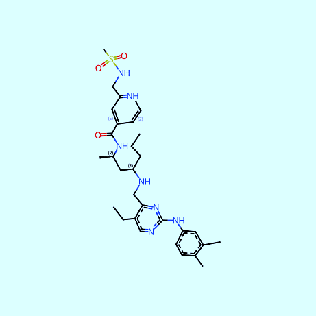 C/C=C\C(=C/C(=N)CNS(C)(=O)=O)C(=O)N[C@H](C)C[C@@H](CCC)NCc1nc(Nc2ccc(C)c(C)c2)ncc1CC